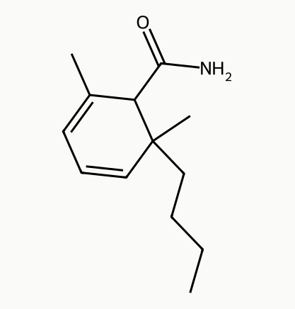 CCCCC1(C)C=CC=C(C)C1C(N)=O